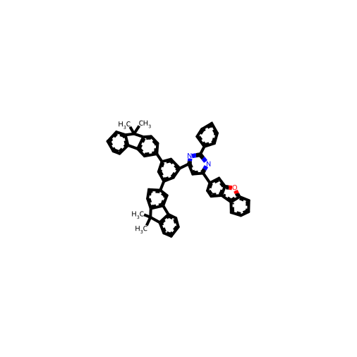 CC1(C)c2ccccc2-c2cc(-c3cc(-c4ccc5c(c4)-c4ccccc4C5(C)C)cc(-c4cc(-c5ccc6c(c5)oc5ccccc56)nc(-c5ccccc5)n4)c3)ccc21